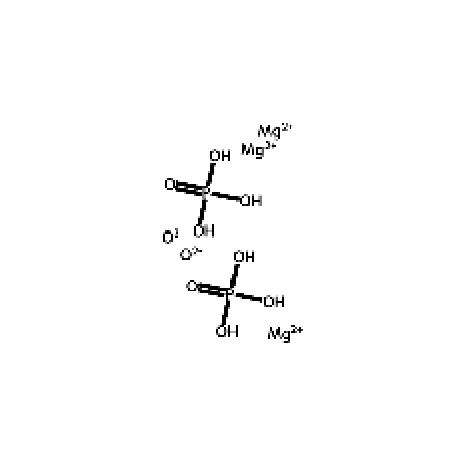 O=P(O)(O)O.O=P(O)(O)O.[Mg+2].[Mg+2].[Mg+2].[O-2].[O-2]